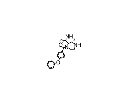 NC(=O)C1CNCCN1C(=O)c1ccc(Oc2ccccc2)cc1